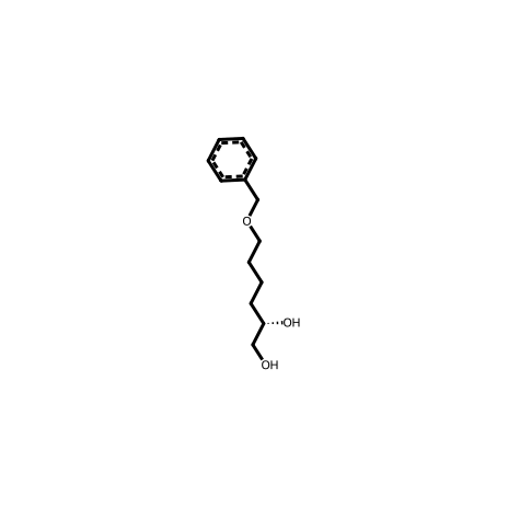 OC[C@@H](O)CCCCOCc1ccccc1